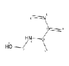 C=NC(=C)C(C)NCO